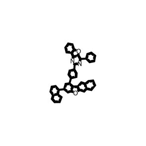 c1ccc(-c2nc(-c3ccc(-c4cc(-c5cccc6ccccc56)cc5oc6cc7ccccc7cc6c45)cc3)nc3c2oc2ccccc23)cc1